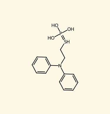 OP(O)(O)=[SH]CCN(c1ccccc1)c1ccccc1